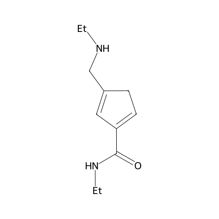 CCNCC1=CC(C(=O)NCC)=CC1